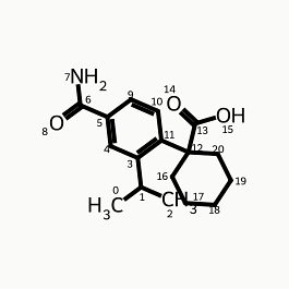 CC(C)c1cc(C(N)=O)ccc1C1(C(=O)O)CCCCC1